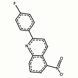 O=[N+]([O-])c1cccc2nc(-c3ccc(F)cc3)ccc12